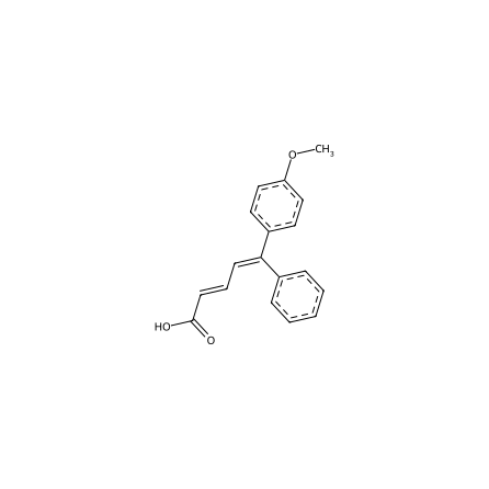 COc1ccc(/C(=C/C=C/C(=O)O)c2ccccc2)cc1